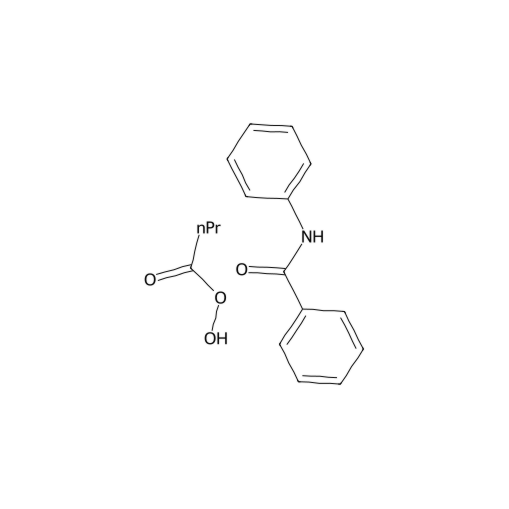 CCCC(=O)OO.O=C(Nc1ccccc1)c1ccccc1